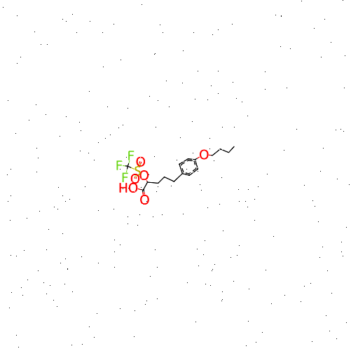 CCCCOc1ccc(CCCC(OS(=O)(=O)C(F)(F)F)C(=O)O)cc1